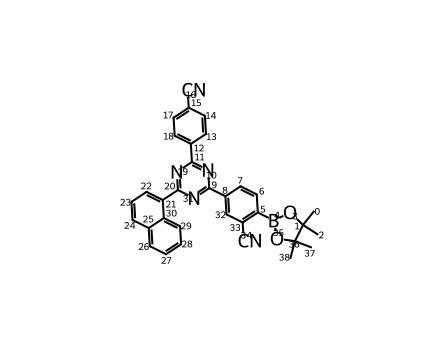 CC1(C)OB(c2ccc(-c3nc(-c4ccc(C#N)cc4)nc(-c4cccc5ccccc45)n3)cc2C#N)OC1(C)C